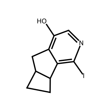 Oc1cnc(I)c2c1CC1CCC21